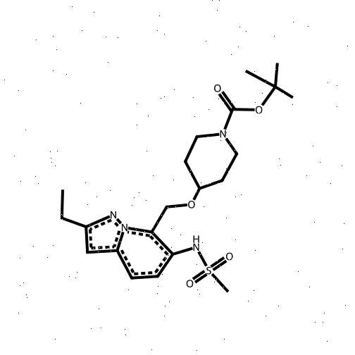 CCc1cc2ccc(NS(C)(=O)=O)c(COC3CCN(C(=O)OC(C)(C)C)CC3)n2n1